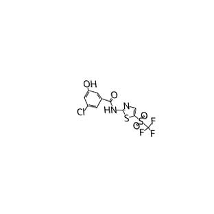 O=C(Nc1ncc(S(=O)(=O)C(F)(F)F)s1)c1cc(O)cc(Cl)c1